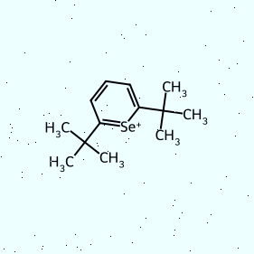 CC(C)(C)c1cccc(C(C)(C)C)[se+]1